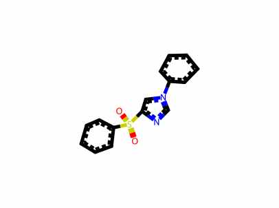 O=S(=O)(c1ccccc1)c1cn(-c2ccccc2)cn1